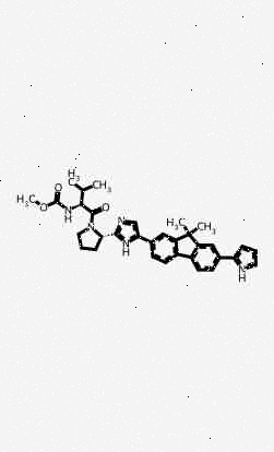 COC(=O)N[C@H](C(=O)N1CCC[C@H]1c1ncc(-c2ccc3c(c2)C(C)(C)c2cc(-c4ccc[nH]4)ccc2-3)[nH]1)C(C)C